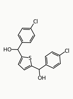 OC(c1ccc(Cl)cc1)c1ccc(C(O)c2ccc(Cl)cc2)s1